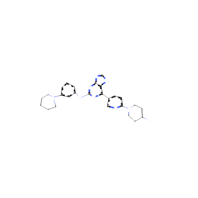 NC1CCN(c2ccc(-c3nc(Nc4cccc(N5CCCCC5)c4)nc4[nH]cnc34)cn2)CC1